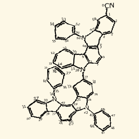 N#Cc1ccc2c3ccc4c(c5ccccc5n4-c4ccc5c(c4)c4c(ccc6c7ccccc7n(-c7ccccc7)c64)n5-c4ccccc4)c3n(-c3ccccc3)c2c1